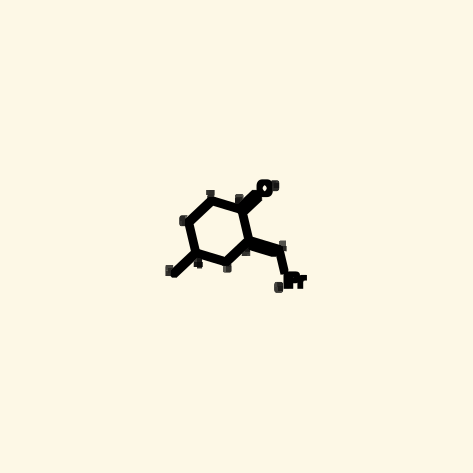 CC(C)C=C1CC(C)CCC1=O